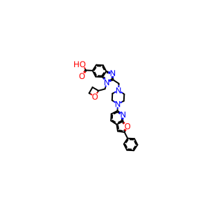 O=C(O)c1ccc2nc(CN3CCN(c4ccc5cc(-c6ccccc6)oc5n4)CC3)n(CC3CCO3)c2c1